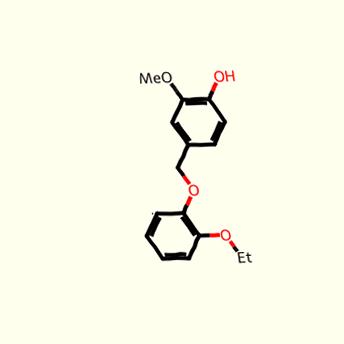 CCOc1ccc[c]c1OCc1ccc(O)c(OC)c1